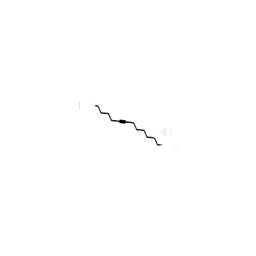 CCCCCC#CCCCCC(O)CC